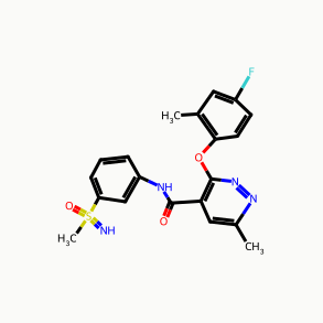 Cc1cc(C(=O)Nc2cccc(S(C)(=N)=O)c2)c(Oc2ccc(F)cc2C)nn1